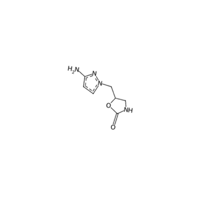 Nc1ccn(CC2CNC(=O)O2)n1